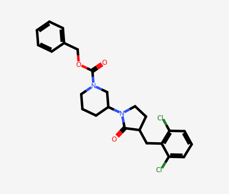 O=C(OCc1ccccc1)N1CCCC(N2CCC(Cc3c(Cl)cccc3Cl)C2=O)C1